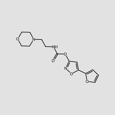 O=C(NCCN1CCOCC1)Oc1cc(-c2ccco2)on1